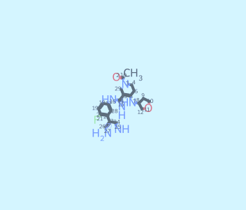 CC(=O)N1CCC(NC2CCOC2)=C(C(=N)Nc2ccc(F)c(/C(C=N)=C/N)c2)C1